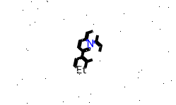 C/C=C(/C)N1C=C(C(/C=C\CC)=C(C)C)C=C/C1=C/C